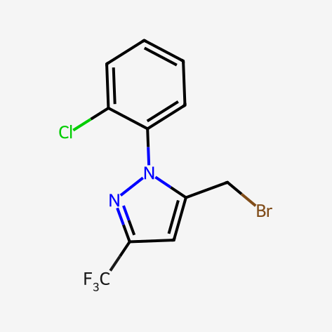 FC(F)(F)c1cc(CBr)n(-c2ccccc2Cl)n1